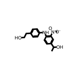 CC(O)c1ccc(Nc2ccc(CCO)cc2)c([N+](=O)[O-])c1